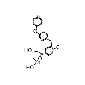 OC[C@@H]1CC(O)C[C@H](c2ccc(Cl)c(Cc3ccc(Oc4ccncc4)cc3)c2)O1